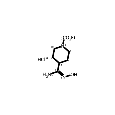 CCOC(=O)N1CCC(/C(N)=N\O)CC1.Cl